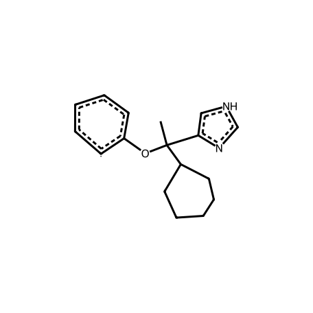 CC(Oc1[c]cccc1)(c1c[nH]cn1)C1CCCCC1